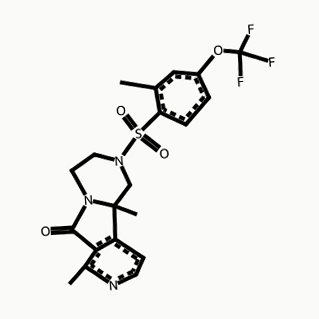 Cc1cc(OC(F)(F)F)ccc1S(=O)(=O)N1CCN2C(=O)c3c(ccnc3C)C2(C)C1